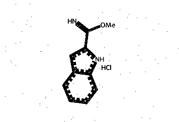 COC(=N)c1cc2ccccc2[nH]1.Cl